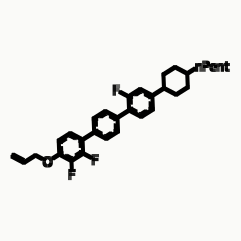 C=CCOc1ccc(-c2ccc(-c3ccc(C4CCC(CCCCC)CC4)cc3F)cc2)c(F)c1F